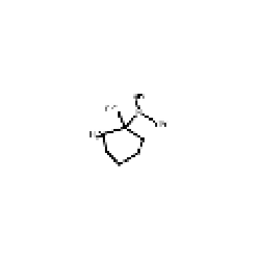 CCCN(CCC)C1(CCC)CCCC[SiH2]1